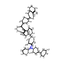 C1CCC(C2CCC(N(C3CCCCC3)C3CCC(C4CCCC5C4CC4CCCC(C6CCC(C7CC8CCCCC8C7)CC6)C45)CC3)CC2)CC1